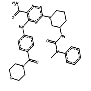 CN(C(=O)NC1CCCN(c2nnc(C(N)=O)c(Nc3ccc(C(=O)N4CCOCC4)cc3)n2)C1)c1ccccc1